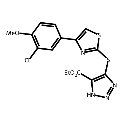 CCOC(=O)c1[nH]nnc1Sc1nc(-c2ccc(OC)c(Cl)c2)cs1